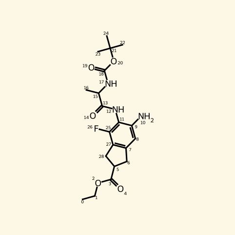 CCOC(=O)C1Cc2cc(N)c(NC(=O)C(C)NC(=O)OC(C)(C)C)c(F)c2C1